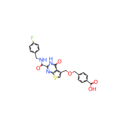 O=C(O)c1ccc(COCc2csc3nc(C(=O)NCc4ccc(F)cc4)[nH]c(=O)c23)cc1